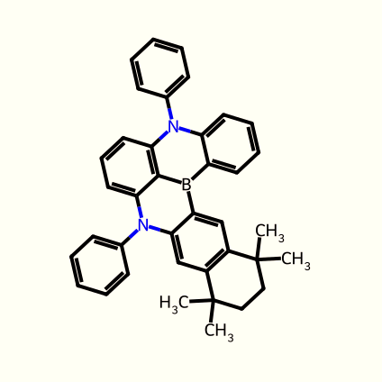 CC1(C)CCC(C)(C)c2cc3c(cc21)B1c2ccccc2N(c2ccccc2)c2cccc(c21)N3c1ccccc1